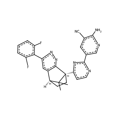 CC1(C)[C@H]2CC[C@]1(c1ccnc(-c3cnc(N)c(C#N)c3)n1)c1nnc(-c3c(F)cccc3F)cc12